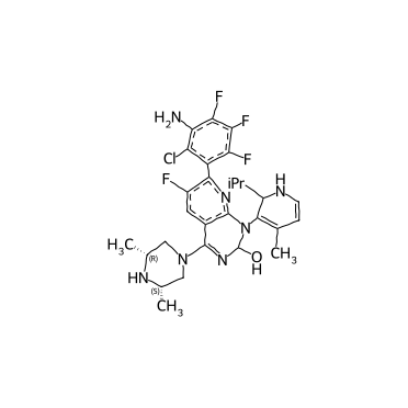 CC1=C(N2c3nc(-c4c(F)c(F)c(F)c(N)c4Cl)c(F)cc3C(N3C[C@@H](C)N[C@@H](C)C3)=NC2O)C(C(C)C)NC=C1